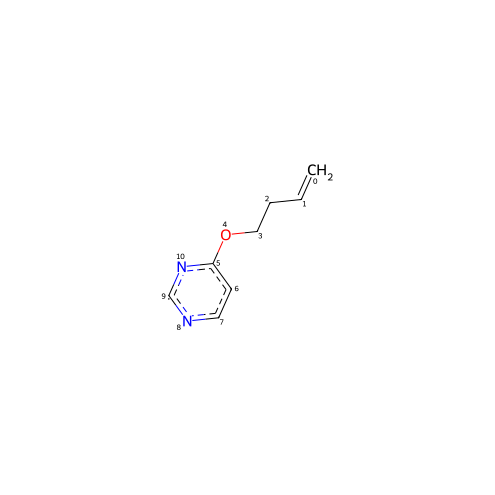 C=CCCOc1ccn[c]n1